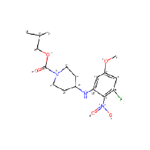 COc1cc(F)c([N+](=O)[O-])c(NC2CCN(C(=O)OCC(C)C)CC2)c1